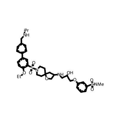 CCOc1ccc(-c2ccc(CNC(C)C)cc2)cc1S(=O)(=O)N1CCC2(CC1)CC(NCC(O)COc1cccc(S(=O)(=O)NC)c1)CO2